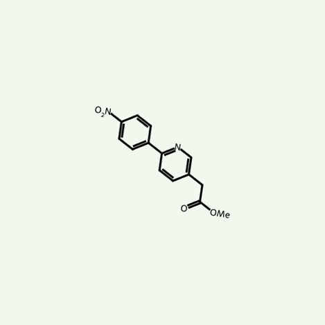 COC(=O)Cc1ccc(-c2ccc([N+](=O)[O-])cc2)nc1